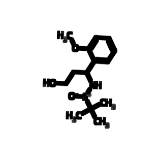 COc1ccccc1C(CCO)N[S+]([O-])C(C)(C)C